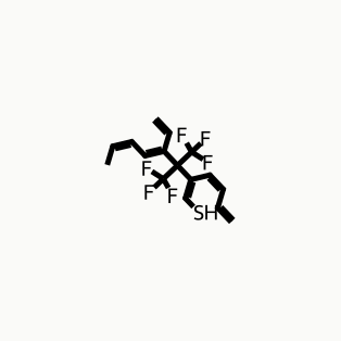 C=C/C=C\C(=C/S)C(/C(C=C)=C/C=C\C)(C(F)(F)F)C(F)(F)F